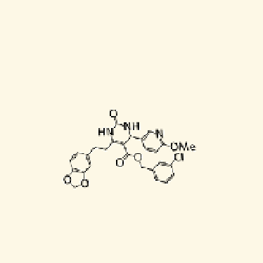 COc1ccc(C2NC(=O)NC(CCc3ccc4c(c3)OCO4)=C2C(=O)OCc2cccc(Cl)c2)cn1